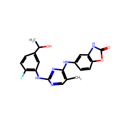 Cc1cnc(Nc2cc(C(C)O)ccc2F)nc1Nc1ccc2oc(=O)[nH]c2c1